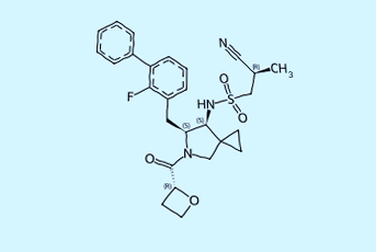 C[C@H](C#N)CS(=O)(=O)N[C@@H]1[C@H](Cc2cccc(-c3ccccc3)c2F)N(C(=O)[C@H]2CCO2)CC12CC2